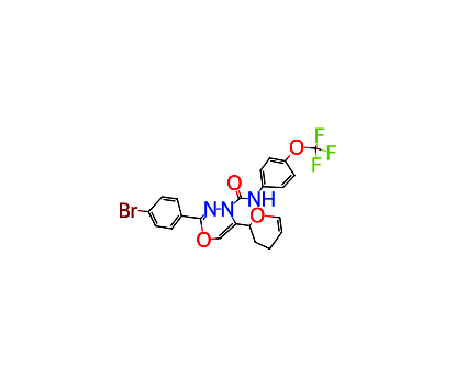 O=C(Nc1ccc(OC(F)(F)F)cc1)N1N=C(c2ccc(Br)cc2)OC=C1C1CCC=CO1